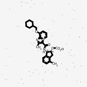 Cc1cccc2c1C[C@@H](OC(=O)O)[C@H]2NC(=O)c1c(C)nc2c(OCC3CCCCC3)cccn12